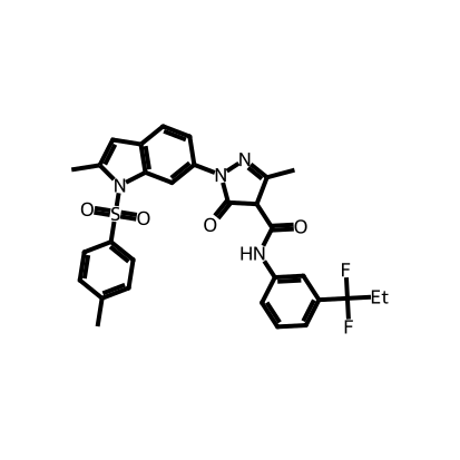 CCC(F)(F)c1cccc(NC(=O)C2C(=O)N(c3ccc4cc(C)n(S(=O)(=O)c5ccc(C)cc5)c4c3)N=C2C)c1